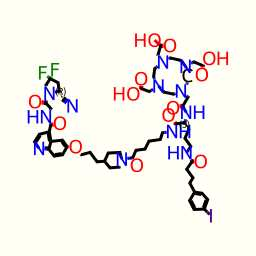 N#C[C@H]1CC(F)(F)CN1C(=O)CNC(=O)c1ccnc2ccc(OCCCC3CCN(C(=O)CCCCCNC(=O)[C@H](CCCNC(=O)CCCc4ccc(I)cc4)NC(=O)CN4CCN(CC(=O)O)CCN(CC(=O)O)CCN(CC(=O)O)CC4)CC3)cc12